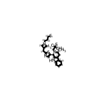 C[C@@H]1Cc2c([nH]c3ccccc23)[C@@H](c2cnc(CC3CN(CCCF)C3)s2)N1CC(C)(C)F